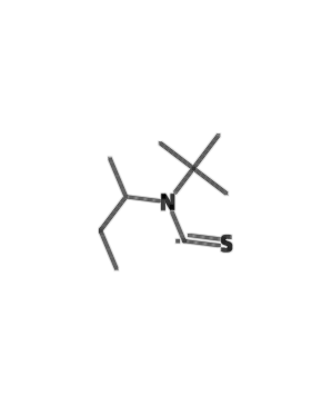 CCC(C)N([C]=S)C(C)(C)C